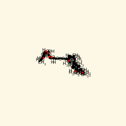 CCCNC(=O)Nc1cccc(S(=O)(=O)Nc2cccc(C(CC(=O)O)NC(=O)Nc3ccc(NC(=O)NCCOCCOCCOCCC(=O)N[C@@H](CC(=O)OC(C)(C)C)C(=O)N4CCC[C@H]4C(=O)N[C@H](C(=O)OC(C)(C)CCNC(=O)[C@H](Cc4ccccc4)NC(=O)[C@H](C)[C@@H](OC)[C@@H]4CCCN4C(=O)C[C@@H](OC)[C@H]([C@@H](C)CC)N(C)C(=O)[C@@H](NC(=O)[C@H](C(C)C)N(C)C)C(C)C)C(C)C)cc3)c2)c1